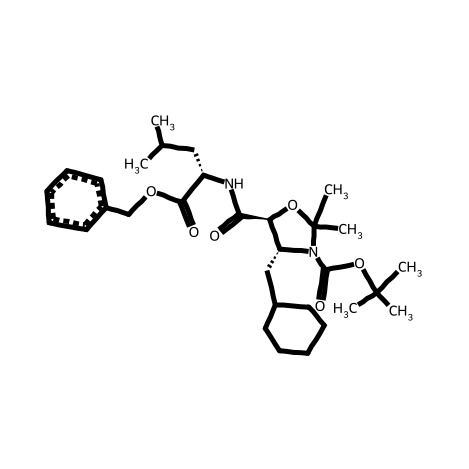 CC(C)C[C@H](NC(=O)[C@H]1OC(C)(C)N(C(=O)OC(C)(C)C)[C@@H]1CC1CCCCC1)C(=O)OCc1ccccc1